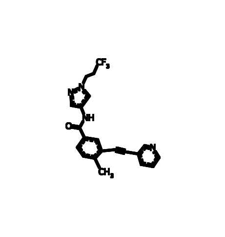 Cc1ccc(C(=O)Nc2cnn(CCC(F)(F)F)c2)cc1C#Cc1cccnc1